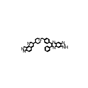 C1=NN=c2ccc3c(c21)N=CC(C1CCN(Cc2ccc(-c4nc5cc6nc[nH]c6cc5nc4-c4ccccc4)cc2)CC1)C=3